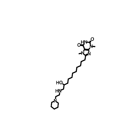 Cn1c(CCCCCCCCCC(O)CNCCN2CCCCC2)nc2c1c(=O)[nH]c(=O)n2C